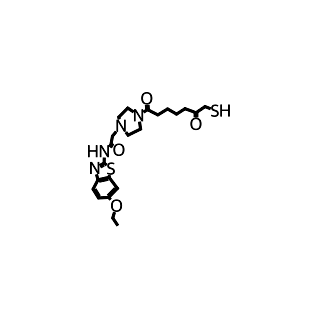 CCOc1ccc2nc(NC(=O)CN3CCN(C(=O)CCCCC(=O)CS)CC3)sc2c1